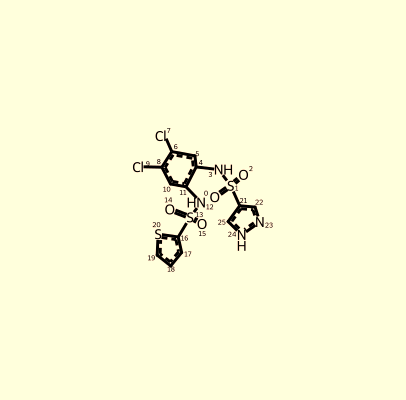 O=S(=O)(Nc1cc(Cl)c(Cl)cc1NS(=O)(=O)c1cccs1)c1cn[nH]c1